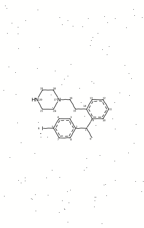 CC(c1ccc(I)cc1)c1ccccc1CCN1CCNCC1